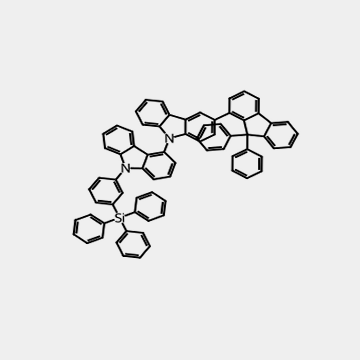 c1ccc(C2(c3ccccc3)c3ccccc3-c3cccc(-c4ccc5c(c4)c4ccccc4n5-c4cccc5c4c4ccccc4n5-c4cccc([Si](c5ccccc5)(c5ccccc5)c5ccccc5)c4)c32)cc1